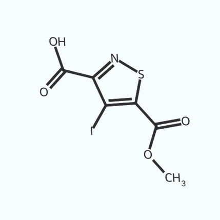 COC(=O)c1snc(C(=O)O)c1I